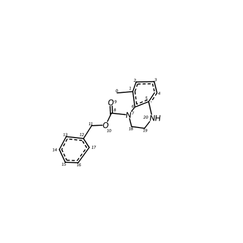 Cc1cccc2c1N(C(=O)OCc1ccccc1)CCN2